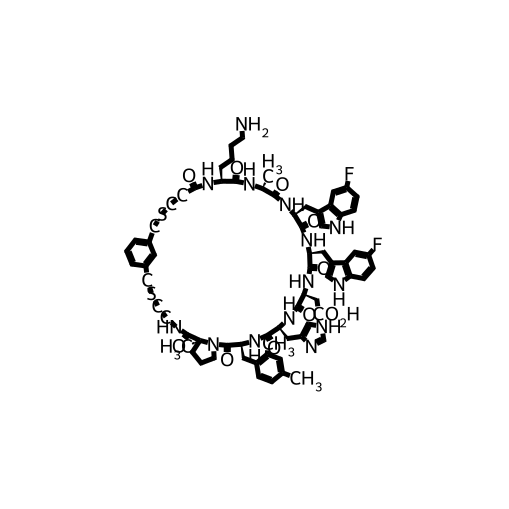 Cc1ccc(C[C@@H]2NC(=O)[C@H](Cc3c[nH]cn3)NC(=O)[C@H](CC(=O)O)NC(=O)[C@H](Cc3c[nH]c4ccc(F)cc34)NC(=O)[C@H](Cc3c[nH]c4ccc(F)cc34)NC(=O)[C@@H](C)NC(=O)[C@H](CCCCN)NC(=O)CCSCc3cccc(c3)CSCCNC(=O)[C@]3(C)CCCN3C2=O)c(C)c1